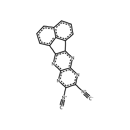 [C-]#[N+]c1nc2nc3c(nc2nc1[N+]#[C-])-c1cccc2cccc-3c12